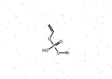 C=COP(=O)(O)OBr